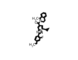 C=Cc1ccc(-c2nc3cc(C(=O)N4CCc5ccccc5[C@H]4C)cc(C4CC4)n3n2)c(F)c1